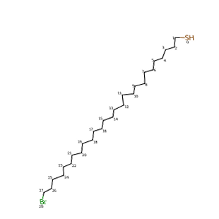 SCCCCCCCCCCCCCCCCCCCCCCCCCCCBr